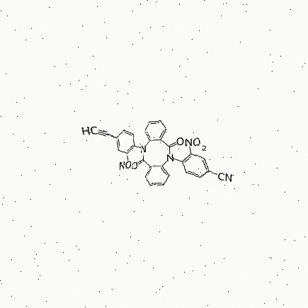 C#Cc1ccc(N2C(=O)c3ccccc3N(c3ccc(C#N)cc3[N+](=O)[O-])C(=O)c3ccccc32)c(N=O)c1